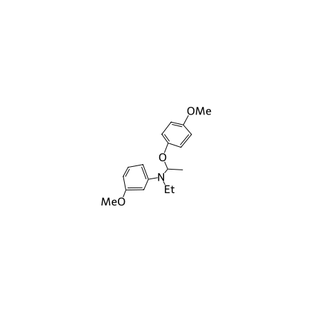 CCN(c1cccc(OC)c1)C(C)Oc1ccc(OC)cc1